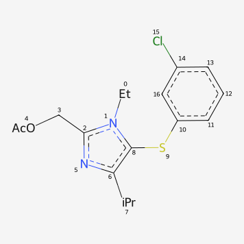 CCn1c(COC(C)=O)nc(C(C)C)c1Sc1cccc(Cl)c1